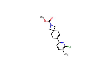 Cc1ccc(C2=CCC3(CC2)CN(C(=O)OC(C)(C)C)C3)nc1Cl